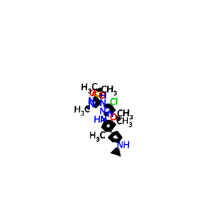 Cc1cc(Nc2ncc(Cl)c(Nc3cn(C)nc3S(=O)(=O)C(C)C)n2)c(OC(C)C)cc1[C@H]1CC[C@H](NC2CC2)CC1